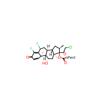 CCCCCC(=O)O[C@]1(C(=O)CCl)[C@H](C)C[C@H]2[C@@H]3C[C@H](F)C4=C(F)C(=O)C=C[C@]4(C)[C@H]3[C@@H](O)C[C@@]21C